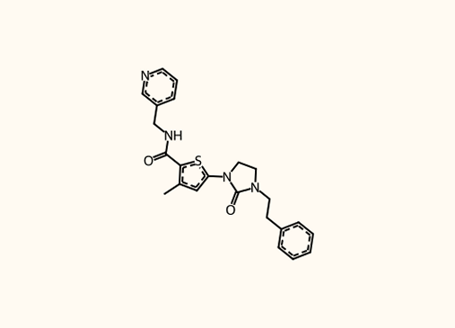 Cc1cc(N2CCN(CCc3ccccc3)C2=O)sc1C(=O)NCc1cccnc1